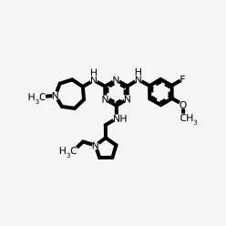 CCN1CCCC1CNc1nc(Nc2ccc(OC)c(F)c2)nc(NC2CCCN(C)CC2)n1